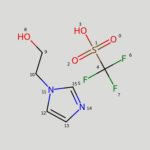 O=S(=O)(O)C(F)(F)F.OCCn1ccnc1